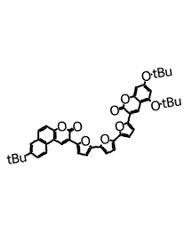 CC(C)(C)Oc1cc(OC(C)(C)C)c2cc(-c3ccc(-c4ccc(-c5ccc(-c6cc7c(ccc8cc(C(C)(C)C)ccc87)oc6=O)o5)o4)o3)c(=O)oc2c1